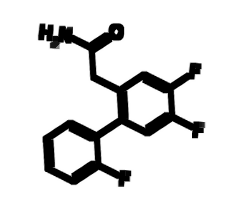 NC(=O)Cc1cc(F)c(F)cc1-c1ccccc1F